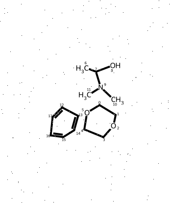 C1COCCO1.CC(O)N(C)C.c1ccccc1